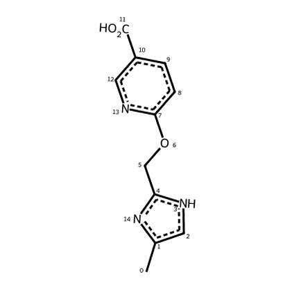 Cc1c[nH]c(COc2ccc(C(=O)O)cn2)n1